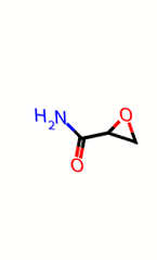 NC(=O)C1CO1